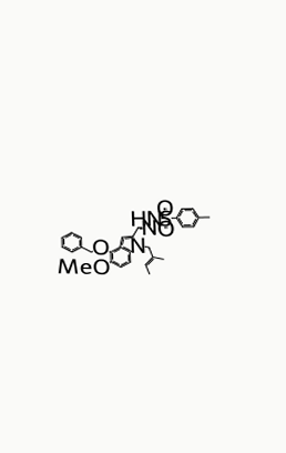 CC=C(C)Cn1c(C=NNS(=O)(=O)c2ccc(C)cc2)cc2c(OCc3ccccc3)c(OC)ccc21